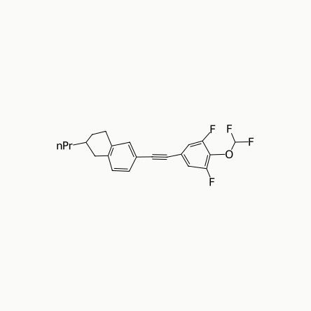 CCCC1CCc2cc(C#Cc3cc(F)c(OC(F)F)c(F)c3)ccc2C1